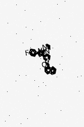 O=C(Cc1cccc2ccccc12)N1CCCC(c2cc(-c3ccc(F)cc3)nn2-c2ncccn2)C1